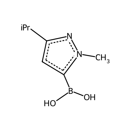 CC(C)c1cc(B(O)O)n(C)n1